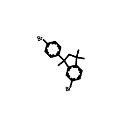 CC1(C)CC(C)(c2ccc(Br)cc2)c2cc(Br)ccc21